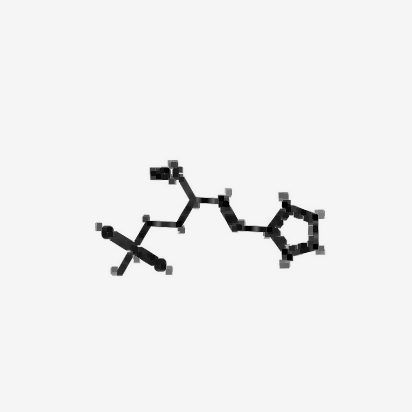 CS(=O)(=O)CCC(/N=C/c1nccs1)C(=O)O